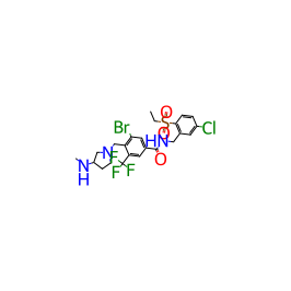 CCS(=O)(=O)c1ccc(Cl)cc1CNC(=O)c1cc(Br)c(CN2CCC(NC)C2)c(C(F)(F)F)c1